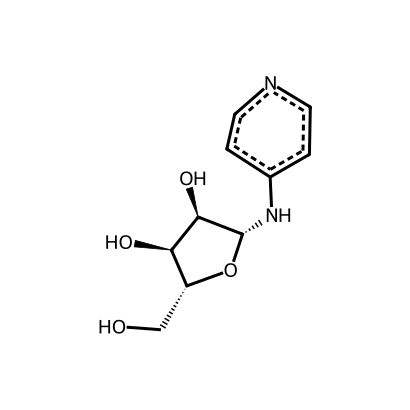 OC[C@H]1O[C@@H](Nc2ccncc2)[C@H](O)[C@@H]1O